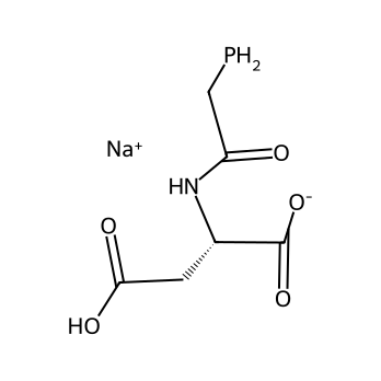 O=C(O)C[C@H](NC(=O)CP)C(=O)[O-].[Na+]